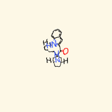 CCCC1(C(=O)c2cc3ccccc3[nH]2)C[C@@H]2CC[C@@H](C1)N2